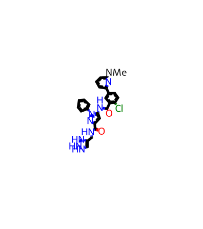 CNc1cccc(-c2ccc(Cl)c(C(=O)Nc3cc(C(=O)NCC4=CNNN4)nn3-c3ccccc3)c2)n1